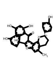 Cc1cc2oc(-c3ccc(O)cc3)c(C(=O)c3c(O)cc(O)cc3O)c2c2c1CC[C@@H](c1ccc(O)cc1)O2